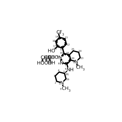 CN1CCC[C@@H](Nc2nnc(-c3ccc(C(F)(F)F)cc3O)c3c2N(C)CCC3)C1.O=CO.O=CO.O=CO